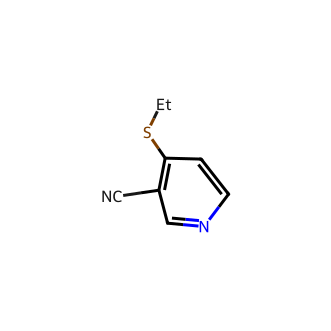 CCSc1ccncc1C#N